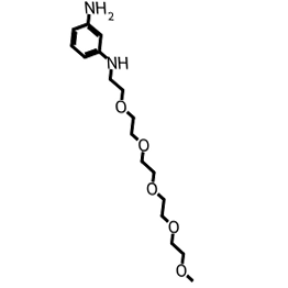 COCCOCCOCCOCCOCCNc1cccc(N)c1